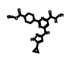 CCCNC(=O)c1cc(Nc2cc(C3CC3)[nH]n2)nc(N2CCN(C(=O)OC(C)(C)C)CC2)n1